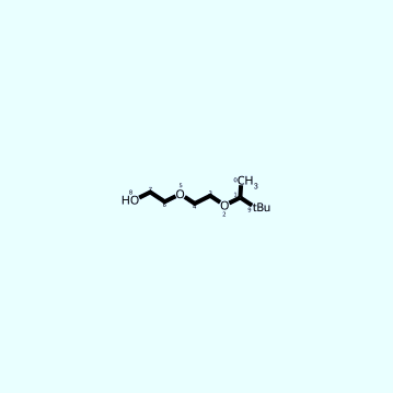 CC(OCCOCCO)C(C)(C)C